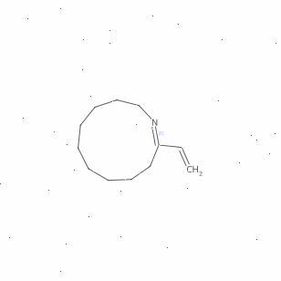 C=C/C1=N/CCCCCCCCC1